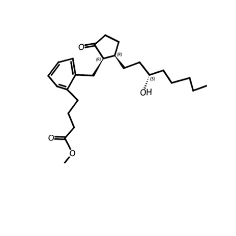 CCCCC[C@H](O)CC[C@@H]1CCC(=O)[C@@H]1Cc1ccccc1CCCC(=O)OC